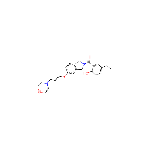 CCC1=CCC(O)C(C(=O)N2Cc3ccc(OCCCN4CCOCC4)cc3C2)=C1